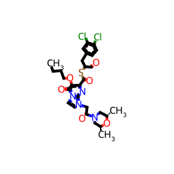 CCCCOc1c(C(=O)SC(C=O)Cc2ccc(Cl)c(Cl)c2)nc2n(CC(=O)N3C[C@H](C)O[C@@H](C)C3)ccn2c1=O